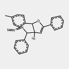 [2H]C1(C(N=[N+]=[N-])c2ccccc2)C=C(c2ccccc2)OC1c1ccc(C)cc1